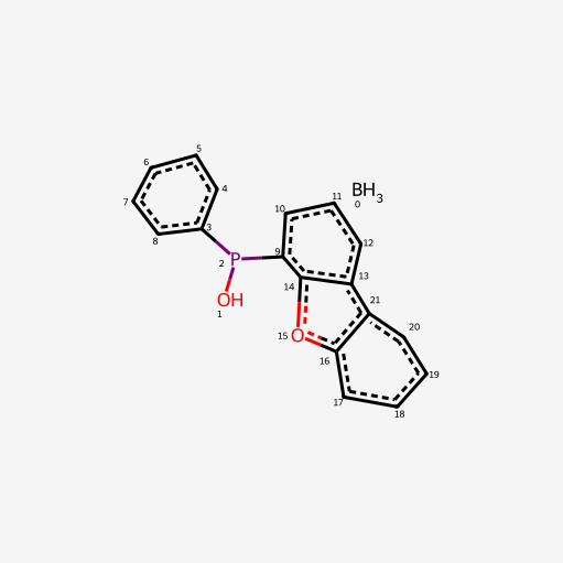 B.OP(c1ccccc1)c1cccc2c1oc1ccccc12